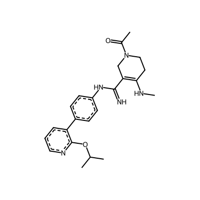 CNC1=C(C(=N)Nc2ccc(-c3cccnc3OC(C)C)cc2)CN(C(C)=O)CC1